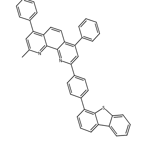 Cc1cc(-c2ccccc2)c2ccc3c(-c4ccccc4)cc(-c4ccc(-c5cccc6c5sc5ccccc56)cc4)nc3c2n1